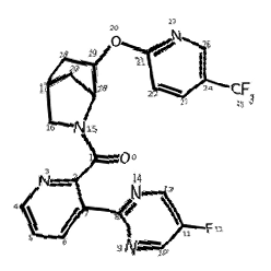 O=C(c1ncccc1-c1ncc(F)cn1)N1CC2CC(Oc3ccc(C(F)(F)F)cn3)C1C2